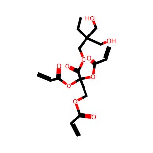 C=CC(=O)OCC(OC(=O)C=C)(OC(=O)C=C)C(=O)OCC(CC)(CO)CO